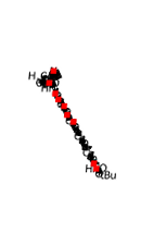 CN1C(=O)C[C@H](C(=O)NCCOCCOCCOCCOCCOCCOCCOCCOCCOCCNC(=O)OC(C)(C)C)[C@H]1c1cccnc1